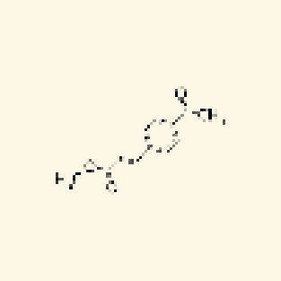 COC(=O)C=Cc1ccc(C(C)=O)cc1